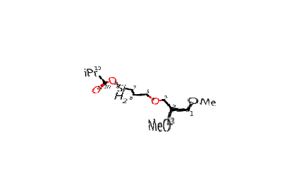 COCC(COCCC[SiH2]OC(=O)C(C)C)OC